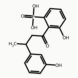 CC(CC(=O)c1c(O)cccc1P(=O)(O)O)c1cccc(O)c1